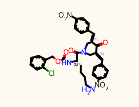 NCCCC[C@H](NC(=O)OCc1ccccc1Cl)C(=O)N1C/C(=C\c2ccc([N+](=O)[O-])cc2)C(=O)/C(=C/c2ccc([N+](=O)[O-])cc2)C1